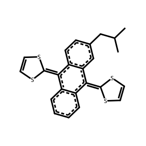 CC(C)Cc1ccc2c(=C3SC=CS3)c3ccccc3c(=C3SC=CS3)c2c1